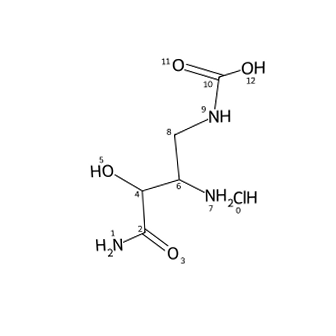 Cl.NC(=O)C(O)C(N)CNC(=O)O